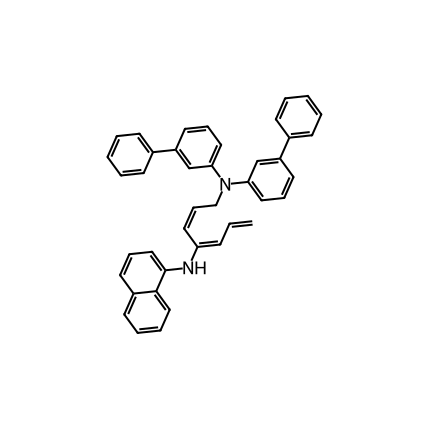 C=C/C=C(\C=C/CN(c1cccc(-c2ccccc2)c1)c1cccc(-c2ccccc2)c1)Nc1cccc2ccccc12